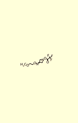 COCCON=C1CN(OC(=O)C(F)(F)F)C1